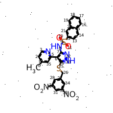 Cc1ccnc(-c2c(NS(=O)(=O)c3ccc4ccccc4c3)n[nH]c2SCc2cc([N+](=O)[O-])cc([N+](=O)[O-])c2)c1